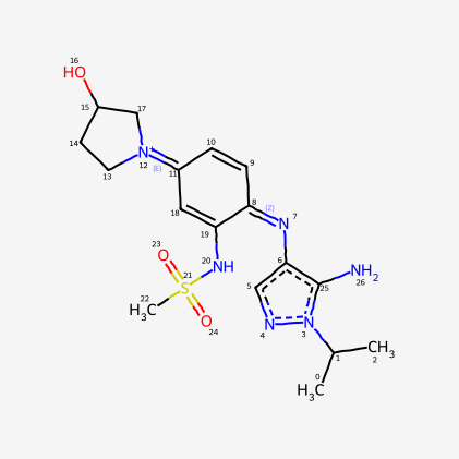 CC(C)n1ncc(/N=C2C=C/C(=[N+]3/CCC(O)C3)C=C/2NS(C)(=O)=O)c1N